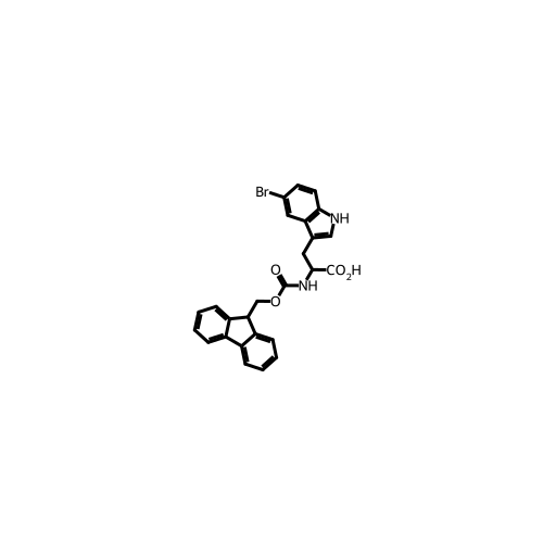 O=C(NC(Cc1c[nH]c2ccc(Br)cc12)C(=O)O)OCC1c2ccccc2-c2ccccc21